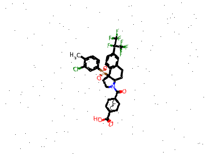 Cc1ccc(S(=O)(=O)C23CCN(C(=O)C45CCC(C(=O)O)(CC4)CC5)C2CCc2cc(C(F)(C(F)(F)F)C(F)(F)F)ccc23)cc1Cl